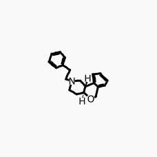 c1ccc(CCN2CC[C@@H]3OCc4ccccc4[C@H]3C2)cc1